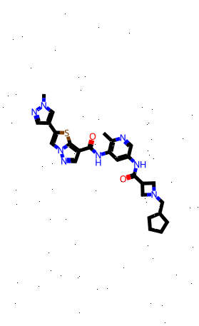 Cc1ncc(NC(=O)C2CN(CC3CCCC3)C2)cc1NC(=O)c1cnn2cc(-c3cnn(C)c3)sc12